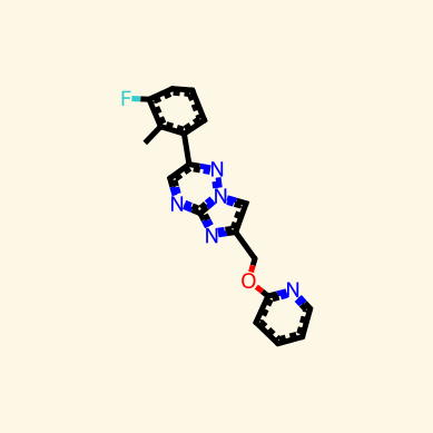 Cc1c(F)cccc1-c1cnc2nc(COc3ccccn3)cn2n1